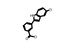 O=C(Cl)c1cccc(-c2cc3cc(Cl)ccc3[nH]2)c1